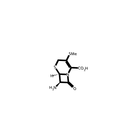 CSC1=C(C(=O)O)N2C(=O)[C@@H](N)[C@H]2SC1